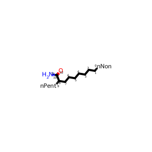 CCCCCCCCCCCCCCCCC(CCCCC)C(N)=O